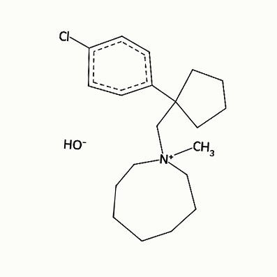 C[N+]1(CC2(c3ccc(Cl)cc3)CCCC2)CCCCCCC1.[OH-]